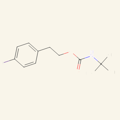 CC(C)(C)NC(=O)OCCc1ccc(I)cc1